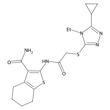 CCn1c(SCC(=O)Nc2sc3c(c2C(N)=O)CCCC3)nnc1C1CC1